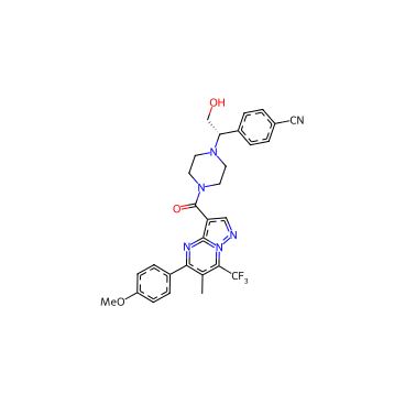 COc1ccc(-c2nc3c(C(=O)N4CCN([C@H](CO)c5ccc(C#N)cc5)CC4)cnn3c(C(F)(F)F)c2C)cc1